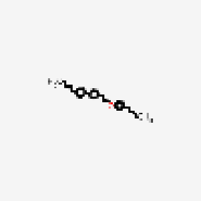 CCCCCc1ccc(OCCCC2CCC(C3CCC(CCCCC)CC3)CC2)cc1